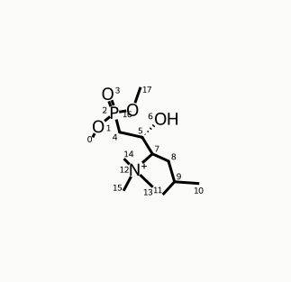 COP(=O)(C[C@H](O)C(CC(C)C)[N+](C)(C)C)OC